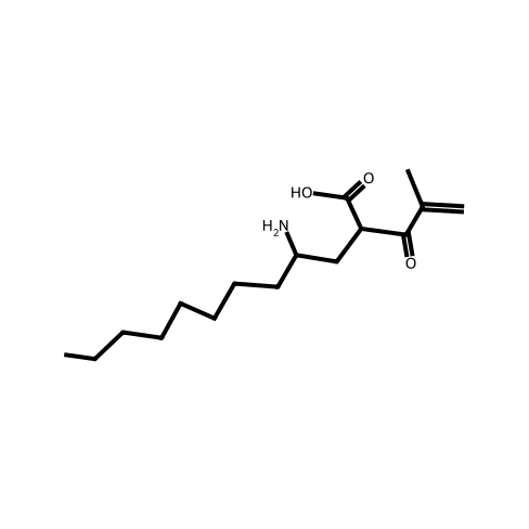 C=C(C)C(=O)C(CC(N)CCCCCCCC)C(=O)O